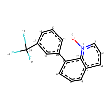 [O-][n+]1cccc2cccc(-c3cccc(C(F)(F)F)c3)c21